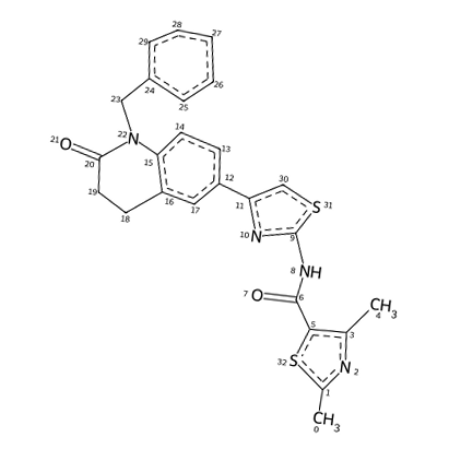 Cc1nc(C)c(C(=O)Nc2nc(-c3ccc4c(c3)CCC(=O)N4Cc3ccccc3)cs2)s1